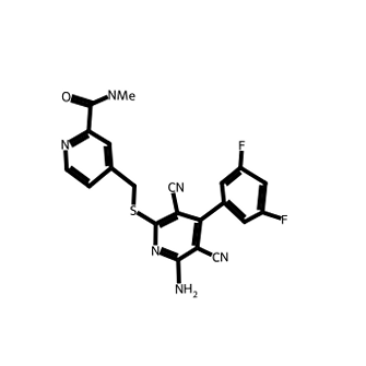 CNC(=O)c1cc(CSc2nc(N)c(C#N)c(-c3cc(F)cc(F)c3)c2C#N)ccn1